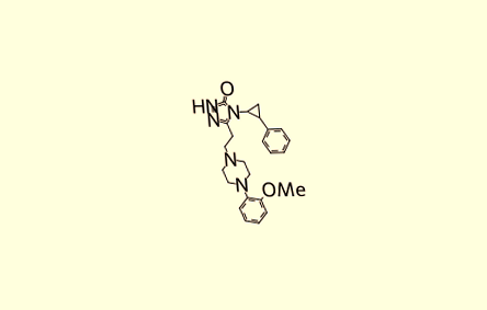 COc1ccccc1N1CCN(CCc2n[nH]c(=O)n2C2CC2c2ccccc2)CC1